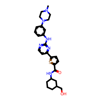 CN1CCN(c2cccc(Nc3nccc(-c4ccc(C(=O)NC5CCCC(CO)C5)s4)n3)c2)CC1